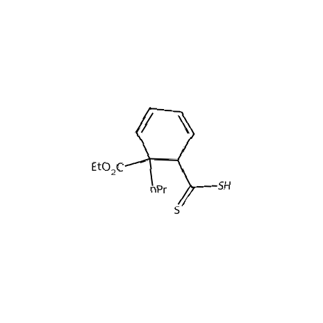 CCCC1(C(=O)OCC)C=CC=CC1C(=S)S